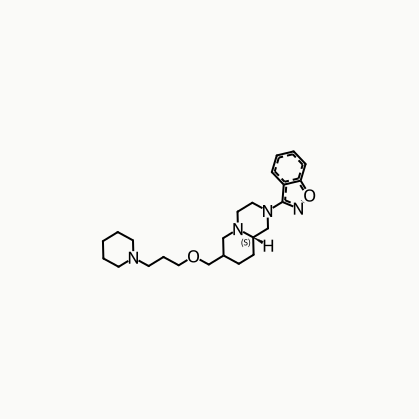 c1ccc2c(N3CCN4CC(COCCCN5CCCCC5)CC[C@H]4C3)noc2c1